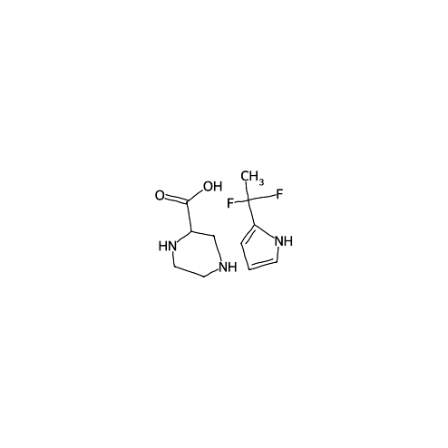 CC(F)(F)c1ccc[nH]1.O=C(O)C1CNCCN1